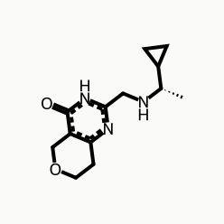 C[C@H](NCc1nc2c(c(=O)[nH]1)COCC2)C1CC1